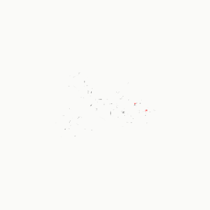 CC[C@]12CCCN3CC[C@@]4(C5=C(C=C(OC)C([C@@]6(C(=O)OC)C[C@H]7C[C@@H](C(C)(F)F)CN(Cc8c6[nH]c6ccccc86)C7)C5)N(C)[C@H]4[C@@](O)(C(=O)OC)[C@@H]1OC(C)=O)[C@@H]32